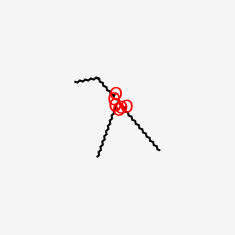 CCCCCCCC/C=C\CCCCCCCC(=O)OC[C@H](COC(=O)CCCCCCCCCCCCCCCCCCCC)OC(=O)CCCCCCCCCCCCCCCCCCC